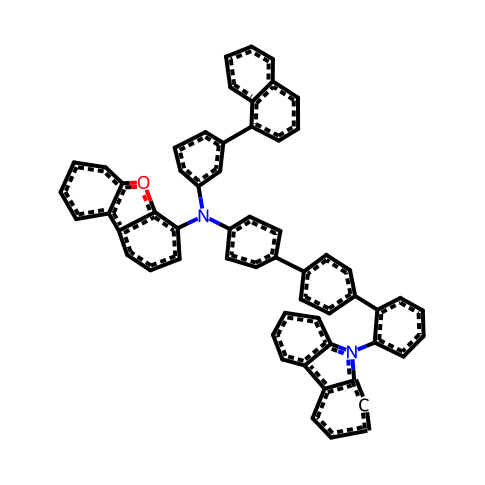 c1cc(-c2cccc3ccccc23)cc(N(c2ccc(-c3ccc(-c4ccccc4-n4c5ccccc5c5ccccc54)cc3)cc2)c2cccc3c2oc2ccccc23)c1